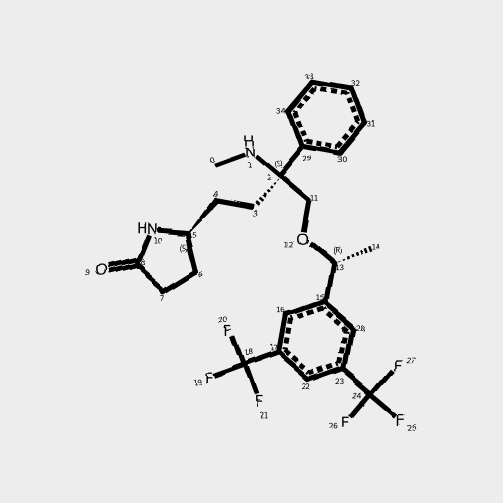 CN[C@](CC[C@H]1CCC(=O)N1)(CO[C@H](C)c1cc(C(F)(F)F)cc(C(F)(F)F)c1)c1ccccc1